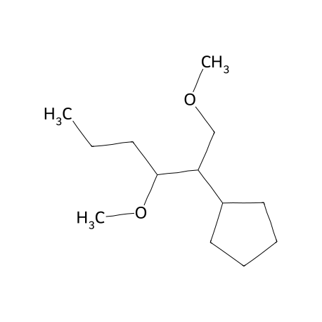 CCCC(OC)C(COC)C1CCCC1